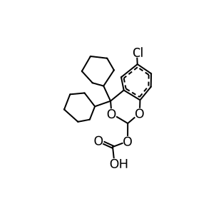 O=C(O)OC1Oc2ccc(Cl)cc2C(C2CCCCC2)(C2CCCCC2)O1